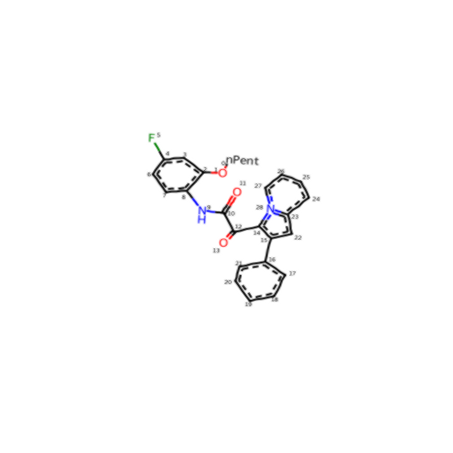 CCCCCOc1cc(F)ccc1NC(=O)C(=O)c1c(-c2ccccc2)cc2ccccn12